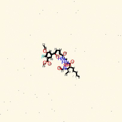 CCCCCC(C(=O)NCNC(=O)c1ccc(-c2cc(OCC)c(F)c(C(=O)OC)c2)o1)[C@@H](CC)N(O)C=O